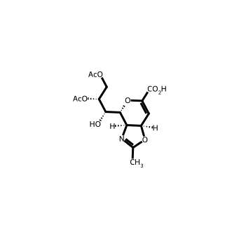 CC(=O)OC[C@@H](OC(C)=O)[C@@H](O)[C@@H]1OC(C(=O)O)=C[C@H]2OC(C)=N[C@@H]12